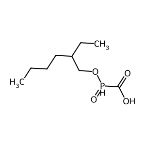 CCCCC(CC)CO[PH](=O)C(=O)O